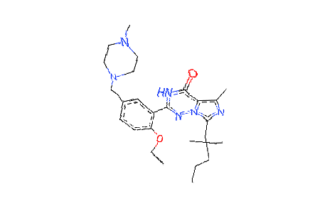 CCCC(C)(C)c1nc(C)c2c(=O)[nH]c(-c3cc(CN4CCN(C)CC4)ccc3OCC)nn12